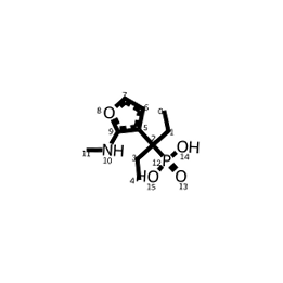 CCC(CC)(c1ccoc1NC)P(=O)(O)O